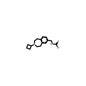 CCC(=O)NCc1ccc2c(c1)CCN(C1CCC1)CC2